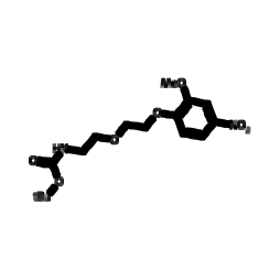 COc1cc([N+](=O)[O-])ccc1OCCOCCNC(=O)OC(C)(C)C